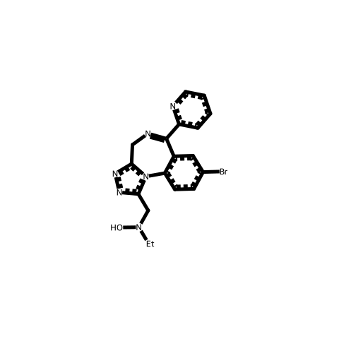 CCN(O)Cc1nnc2n1-c1ccc(Br)cc1C(c1ccccn1)=NC2